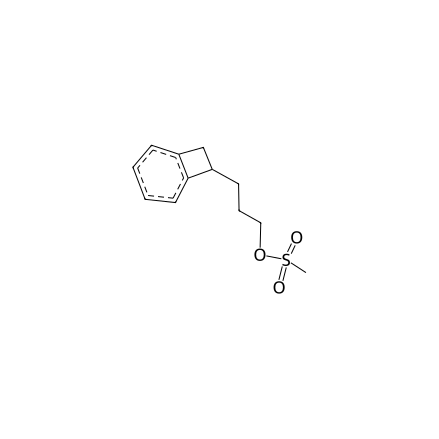 CS(=O)(=O)OCCCC1Cc2ccccc21